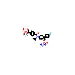 NC(=O)OCC1(c2ccc(F)cc2)CCC(N(C(=O)c2ccc(C(O)(CO)C(F)(F)F)cc2)C2CC2)CC1